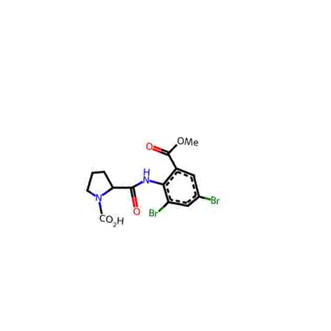 COC(=O)c1cc(Br)cc(Br)c1NC(=O)C1CCCN1C(=O)O